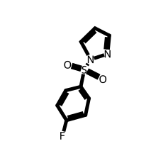 O=S(=O)(c1ccc(F)cc1)n1cccn1